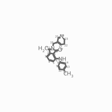 C=C1c2cccc(Nc3ccc(C)cc3)c2C(=O)N1CC1=CCCN=C1